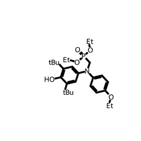 CCOc1ccc(N(CP(=O)(OCC)OCC)c2cc(C(C)(C)C)c(O)c(C(C)(C)C)c2)cc1